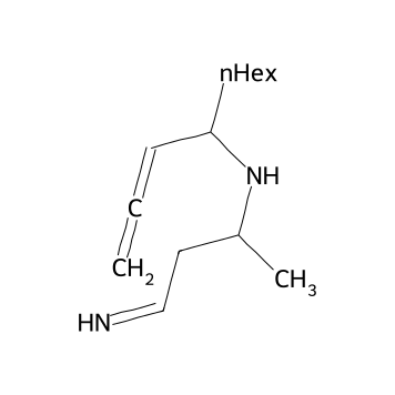 C=C=CC(CCCCCC)NC(C)CC=N